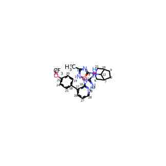 Cc1noc(N2CC3CCC(C2)C3Nc2nc3c(-c4ccc(OC(F)(F)F)cc4)cccn3n2)n1